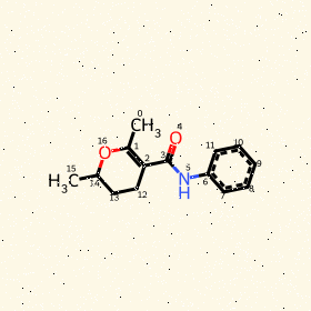 CC1=C(C(=O)Nc2ccccc2)CCC(C)O1